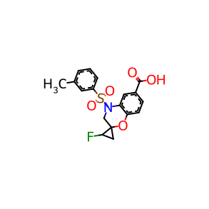 Cc1cccc(S(=O)(=O)N2CC3(CC3F)Oc3ccc(C(=O)O)cc32)c1